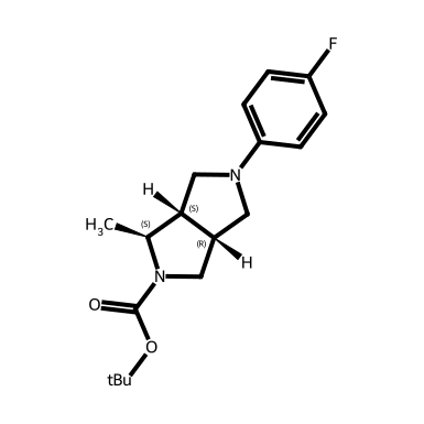 C[C@H]1[C@@H]2CN(c3ccc(F)cc3)C[C@@H]2CN1C(=O)OC(C)(C)C